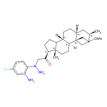 COCC[C@]12CC[C@H](C)C[C@H]1CC[C@H]1C3CC[C@H](C(=O)CN(N)c4ccc(F)cc4N)[C@@]3(C)CC[C@@H]12